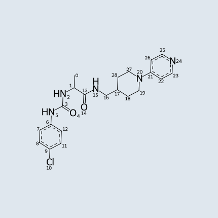 CC(NC(=O)Nc1ccc(Cl)cc1)C(=O)NCC1CCN(c2ccncc2)CC1